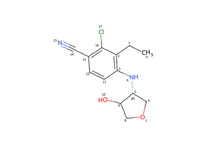 CCc1c(N[C@@H]2COCC2O)ccc(C#N)c1Cl